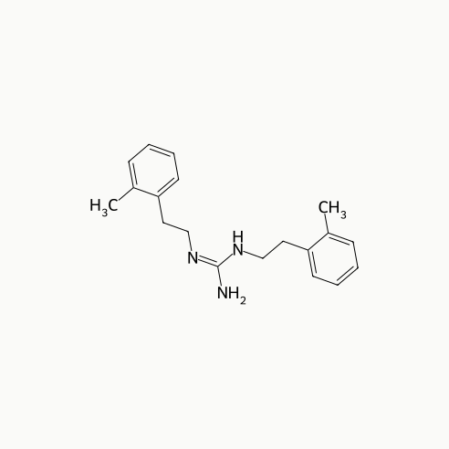 Cc1ccccc1CCN=C(N)NCCc1ccccc1C